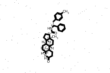 Cc1ccc(C[C@@H](NC(=O)[C@H]2CC[C@H]3[C@@H]4CC[C@H]5NC(=O)CC[C@]5(C)[C@H]4CC[C@]23C)c2ccccc2)cc1